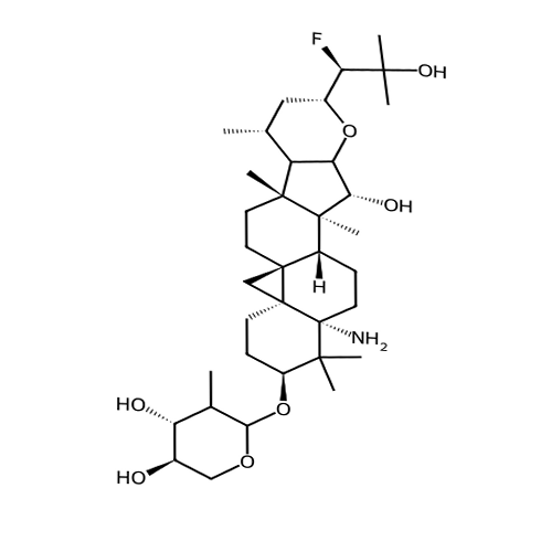 CC1C(O[C@H]2CC[C@]34C[C@]35CC[C@]3(C)C6C(O[C@@H]([C@@H](F)C(C)(C)O)C[C@H]6C)[C@H](O)[C@@]3(C)[C@@H]5CC[C@@]4(N)C2(C)C)OC[C@@H](O)[C@@H]1O